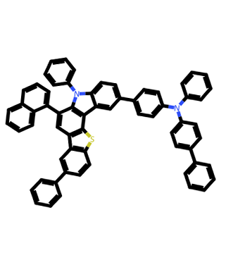 c1ccc(-c2ccc(N(c3ccccc3)c3ccc(-c4ccc5c(c4)c4c6sc7ccc(-c8ccccc8)cc7c6cc(-c6cccc7ccccc67)c4n5-c4ccccc4)cc3)cc2)cc1